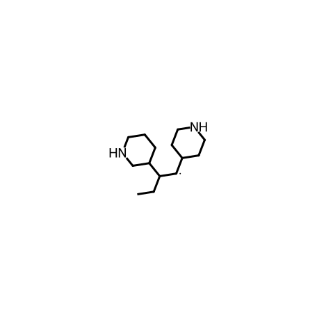 CCC([CH]C1CCNCC1)C1CCCNC1